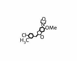 COc1cc2c(cc1N1CCOCC1)C/C(=C\c1ccc(Cl)c(C)c1)C2=O